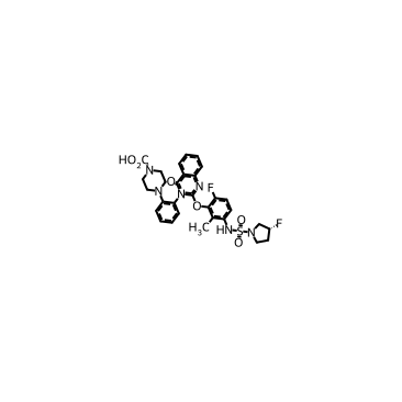 Cc1c(NS(=O)(=O)N2CC[C@@H](F)C2)ccc(F)c1Oc1nc2ccccc2c(=O)n1-c1ccccc1N1CCN(C(=O)O)CC1